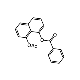 CC(=O)Oc1cccc2cccc(OC(=O)c3ccccc3)c12